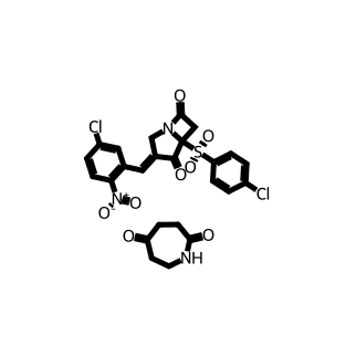 O=C1CC2(S(=O)(=O)c3ccc(Cl)cc3)C(=O)C(=Cc3cc(Cl)ccc3[N+](=O)[O-])CN12.O=C1CCNC(=O)CC1